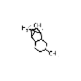 CC1CCC2C(C1)C1CCC2C1(C)C